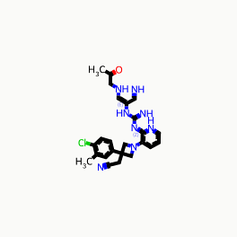 CC(=O)CN/C=C(\C=N)NC(=N)/N=c1\[nH]cccc1N1CC(CC#N)(c2ccc(Cl)c(C)c2)C1